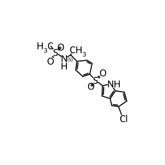 C[C@H](NS(C)(=O)=O)c1ccc(S(=O)(=O)c2cc3cc(Cl)ccc3[nH]2)cc1